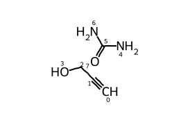 C#CCO.NC(N)=O